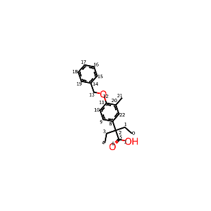 CCC(CC)(C(=O)O)c1ccc(OCc2ccccc2)c(C)c1